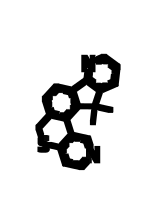 CC1(C)c2cccnc2-c2ccc3c(c21)-c1cnccc1SC3